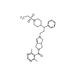 Cc1ncnc(C)c1C(=O)N1CC2=CN(CCC(c3ccccc3)C3CCN(S(=O)(=O)CC(F)(F)F)CC3)CC2C1